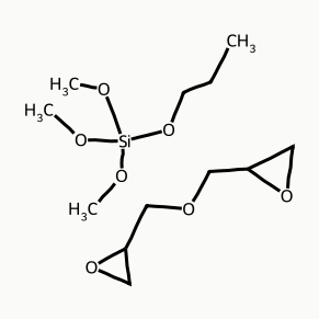 C(OCC1CO1)C1CO1.CCCO[Si](OC)(OC)OC